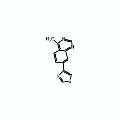 Cc1ncnc2cc(-c3cscn3)ccc12